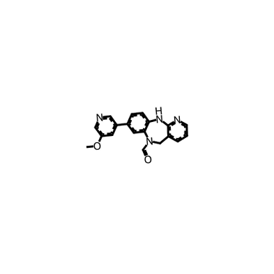 COc1cncc(-c2ccc3c(c2)N(C=O)Cc2cccnc2N3)c1